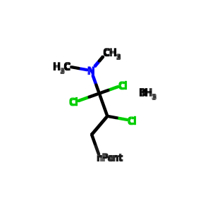 B.CCCCCCC(Cl)C(Cl)(Cl)N(C)C